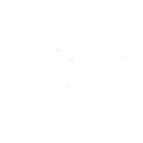 CN(CCO)c1ccc(CN(C(=O)/C=C/c2ccc(C(F)(F)F)cc2)[C@@H](Cc2ccccc2)C(=O)N2CCN(Cc3ccccc3)CC2)cn1